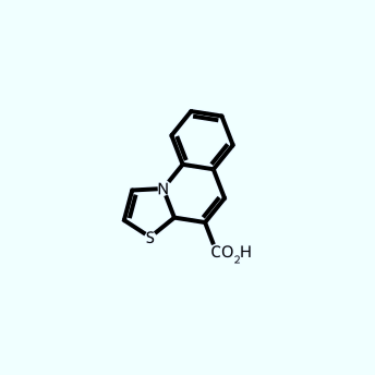 O=C(O)C1=Cc2ccccc2N2C=CSC12